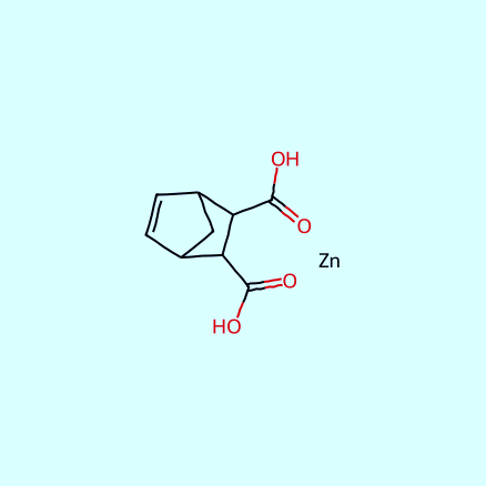 O=C(O)C1C2C=CC(C2)C1C(=O)O.[Zn]